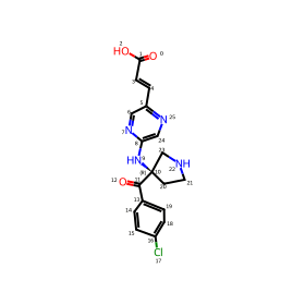 O=C(O)C=Cc1cnc(N[C@]2(C(=O)c3ccc(Cl)cc3)CCNC2)cn1